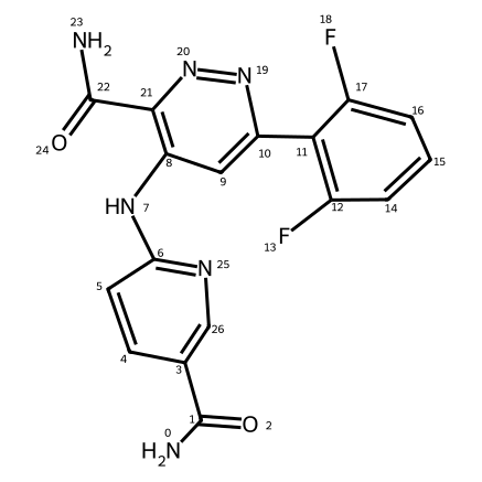 NC(=O)c1ccc(Nc2cc(-c3c(F)cccc3F)nnc2C(N)=O)nc1